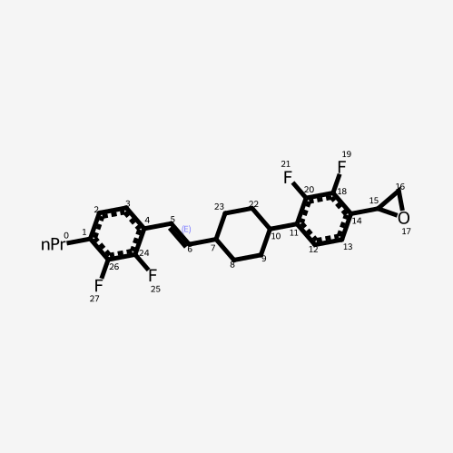 CCCc1ccc(/C=C/C2CCC(c3ccc(C4CO4)c(F)c3F)CC2)c(F)c1F